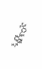 Nc1nnc2c(NCc3cccc(C(F)(F)F)c3)nccn12